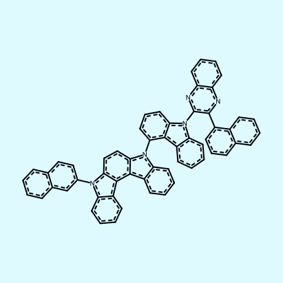 c1ccc2cc(-n3c4ccccc4c4c5c6ccccc6n(-c6cccc7c6c6ccccc6n7-c6nc7ccccc7nc6-c6cccc7ccccc67)c5ccc43)ccc2c1